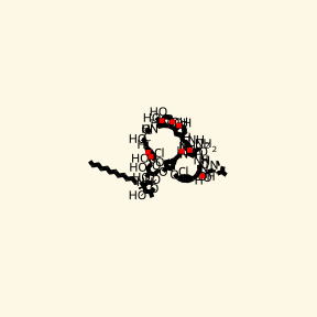 C=N[C@H](CC(C)C)C(=O)N[C@H]1C(=O)N[C@@H](CC(N)=O)C(=O)N[C@H]2C(=O)N[C@@H](C(N)=O)c3ccc(O)c(c3)C3C(=CC(O)=C[C@@H]3O)[C@@H](C(=O)O)NC(=O)C[C@H](O)c3ccc(c(Cl)c3)Oc3cc2cc(c3O[C@H]2O[C@H](CO)[C@H](O)C(O)C2O[C@H]2C[C@@](C)(NCCCCCCCCCCCC)[C@@H](O)C(C)O2)Oc2ccc(cc2Cl)[C@H]1O